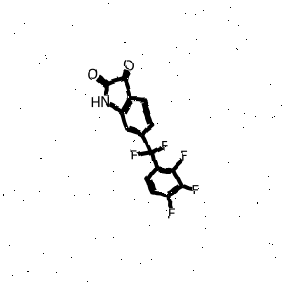 O=C1Nc2cc(C(F)(F)c3ccc(F)c(F)c3F)ccc2C1=O